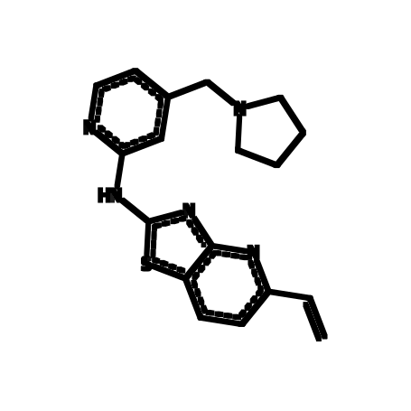 C=Cc1ccc2sc(Nc3cc(CN4CCCC4)ccn3)nc2n1